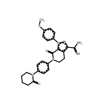 COc1ccc(-n2nc(C(=N)N)c3c2C(=O)N(c2ccc(N4CCCCC4=O)cc2)CC3)cc1